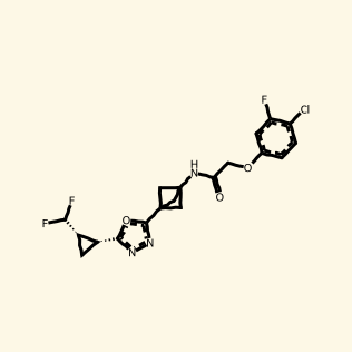 O=C(COc1ccc(Cl)c(F)c1)NC12CC(c3nnc([C@@H]4C[C@@H]4C(F)F)o3)(C1)C2